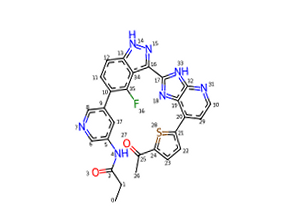 CCC(=O)Nc1cncc(-c2ccc3[nH]nc(-c4nc5c(-c6ccc(C(C)=O)s6)ccnc5[nH]4)c3c2F)c1